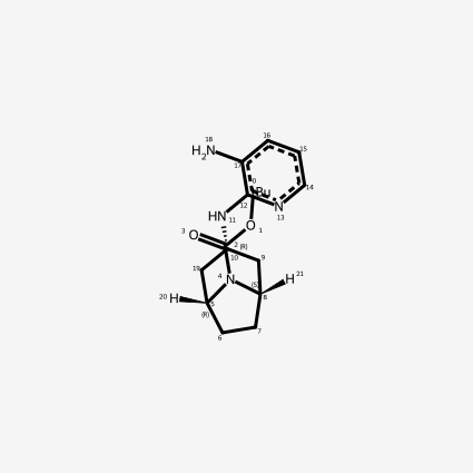 CC(C)(C)OC(=O)N1[C@@H]2CC[C@H]1C[C@@H](Nc1ncccc1N)C2